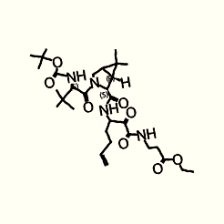 C=CCCC(NC(=O)[C@@H]1[C@@H]2C(CN1C(=O)[C@@H](NC(=O)OC(C)(C)C)C(C)(C)C)C2(C)C)C(=O)C(=O)NCCC(=O)OCC